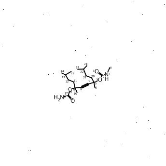 CNC(=O)OC(C)(C#CC(C)(CCC(C)C)OC(N)=O)CCC(C)C